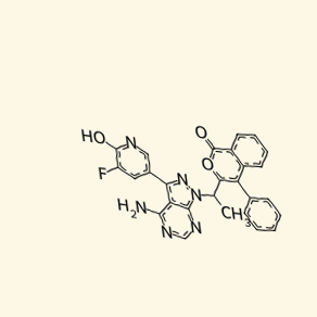 CC(c1oc(=O)c2ccccc2c1-c1ccccc1)n1nc(-c2cnc(O)c(F)c2)c2c(N)ncnc21